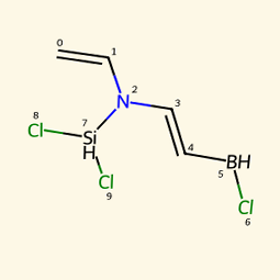 C=CN(C=CBCl)[SiH](Cl)Cl